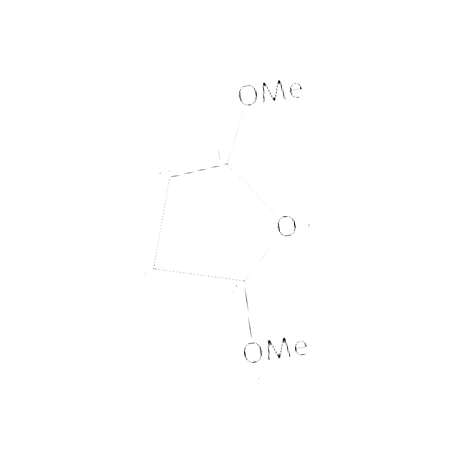 COC1[CH]CC(OC)O1